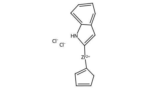 C1=CC[C]([Zr+2][c]2cc3ccccc3[nH]2)=C1.[Cl-].[Cl-]